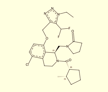 CCn1nnc(COc2ccc(Cl)c3c2[C@@H](CN2CCCC2=O)N(C(=O)[C@@H]2CCC[C@@H]2C)CC3)c1C(F)F